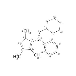 CC1=CC(C)C([SiH](CC2CCCCC2)c2ccccc2)=C1C